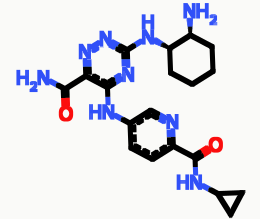 NC(=O)c1nnc(N[C@@H]2CCCC[C@@H]2N)nc1Nc1ccc(C(=O)NC2CC2)nc1